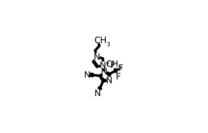 CCCN1C=C[N+](C)(n2c(C(F)(F)F)nc(C#N)c2C#N)C1